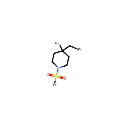 CCS(=O)(=O)N1CCC(C#N)(CC(C)C)CC1